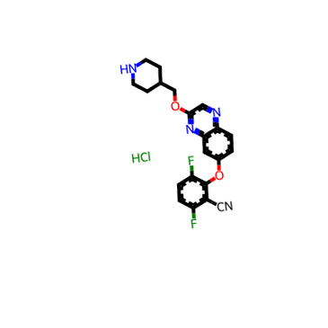 Cl.N#Cc1c(F)ccc(F)c1Oc1ccc2ncc(OCC3CCNCC3)nc2c1